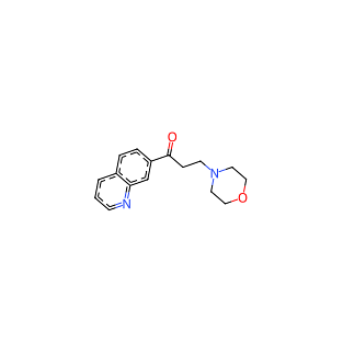 O=C(CCN1CCOCC1)c1ccc2cccnc2c1